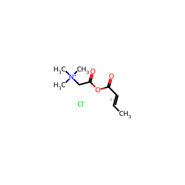 C/C=C/C(=O)OC(=O)C[N+](C)(C)C.[Cl-]